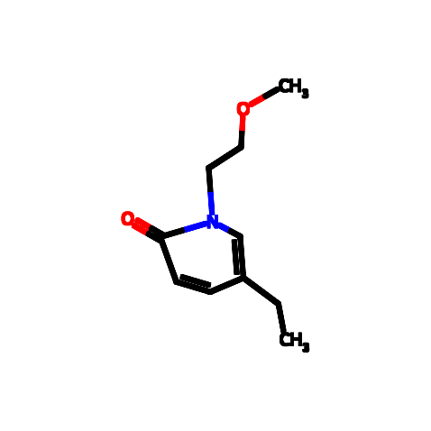 CCc1ccc(=O)n(CCOC)c1